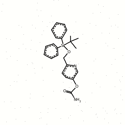 CC(C)(C)[Si](OCc1ccc(OC(N)=O)cn1)(c1ccccc1)c1ccccc1